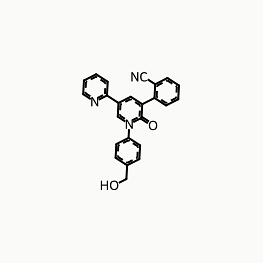 N#Cc1ccccc1-c1cc(-c2ccccn2)cn(-c2ccc(CO)cc2)c1=O